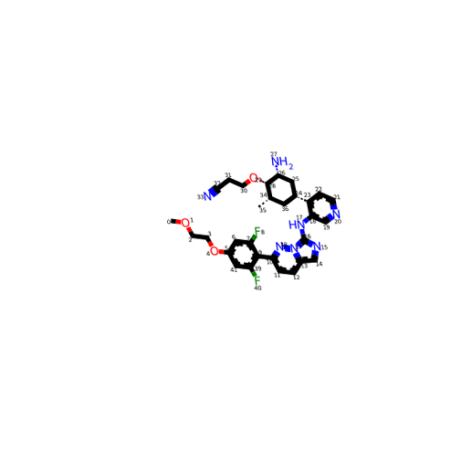 COCCOc1cc(F)c(-c2ccc3cnc(Nc4cnccc4[C@H]4C[C@@H](N)[C@@H](OCCC#N)[C@@H](C)C4)n3n2)c(F)c1